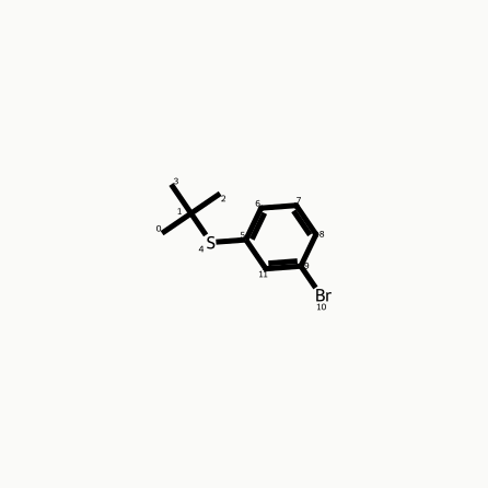 CC(C)(C)Sc1cccc(Br)c1